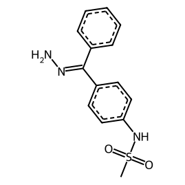 CS(=O)(=O)Nc1ccc(C(=NN)c2ccccc2)cc1